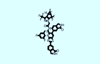 C[C@H]1C2[C@H]1c1c(C(F)(F)F)nn(CC(=O)N[C@@H](Cc3cc(F)cc(F)c3)c3nc4nc(-c5ccc6c(c5)C(=O)NC6)sc4cc3-c3ccc4c(c3)C(=O)NC4)c1C2(F)F